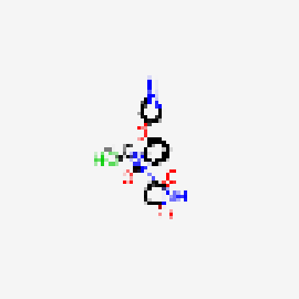 Cl.Cn1c(=O)n(C2CCC(=O)NC2=O)c2cccc(OC3CCNCC3)c21